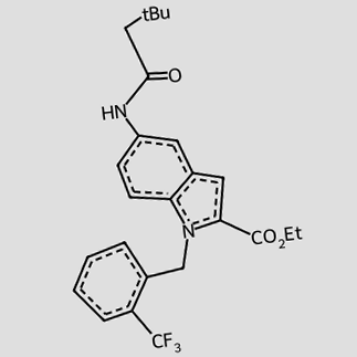 CCOC(=O)c1cc2cc(NC(=O)CC(C)(C)C)ccc2n1Cc1ccccc1C(F)(F)F